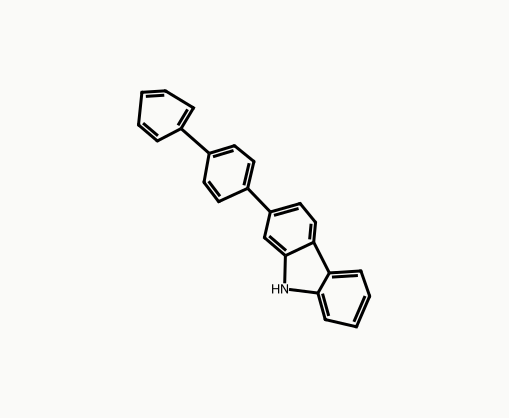 c1ccc(-c2ccc(-c3ccc4c(c3)[nH]c3ccccc34)cc2)cc1